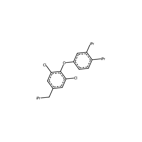 CC(C)Cc1cc(Cl)c(Oc2ccc(C(C)C)c(C(C)C)c2)c(Cl)c1